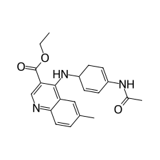 CCOC(=O)c1cnc2ccc(C)cc2c1NC1C=CC(NC(C)=O)=CC1